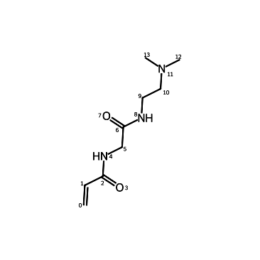 C=CC(=O)NCC(=O)NCCN(C)C